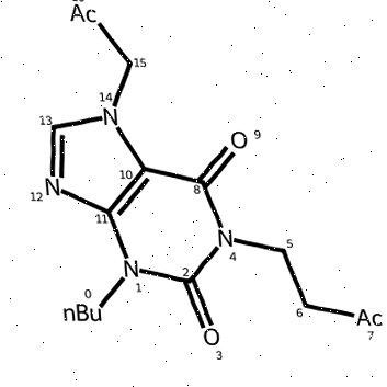 CCCCn1c(=O)n(CCC(C)=O)c(=O)c2c1ncn2CC(C)=O